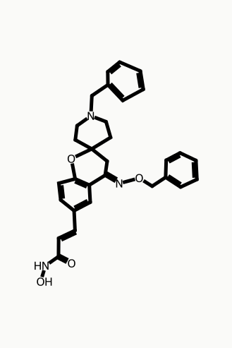 O=C(/C=C/c1ccc2c(c1)/C(=N/OCc1ccccc1)CC1(CCN(Cc3ccccc3)CC1)O2)NO